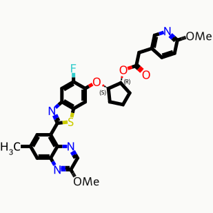 COc1ccc(CC(=O)O[C@@H]2CCC[C@@H]2Oc2cc3sc(-c4cc(C)cc5nc(OC)cnc45)nc3cc2F)cn1